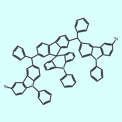 [2H]c1ccc2c(c1)c1cc(C(c3ccccc3)c3ccc4c(c3)C3(c5cc(C(c6ccccc6)c6ccc7c(c6)c6cc([2H])ccc6n7-c6ccccc6)ccc5-4)c4ccccc4N(c4ccccc4)c4ccccc43)ccc1n2-c1ccccc1